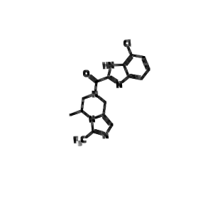 CC1CN(C(=O)c2nc3cccc(Cl)c3[nH]2)Cc2cnc(C(F)(F)F)n21